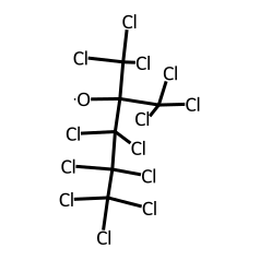 [O]C(C(Cl)(Cl)Cl)(C(Cl)(Cl)Cl)C(Cl)(Cl)C(Cl)(Cl)C(Cl)(Cl)Cl